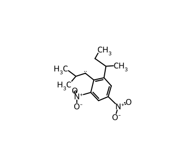 CCC(C)c1cc([N+](=O)[O-])cc([N+](=O)[O-])c1[C]C(C)C